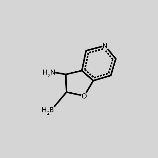 BC1Oc2ccncc2C1N